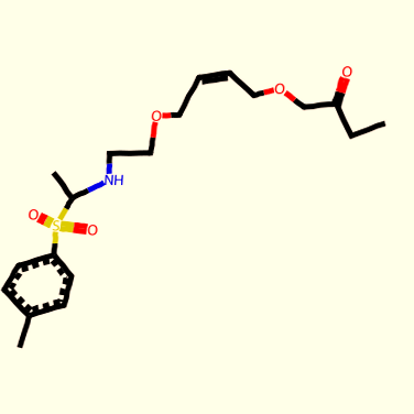 CCC(=O)COC/C=C\COCCNC(C)S(=O)(=O)c1ccc(C)cc1